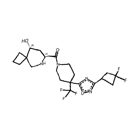 O=C([C@@H]1C[C@@H](O)C2(CCC2)CN1)N1CCC(c2nc(C3CC(F)(F)C3)no2)(C(F)(F)F)CC1